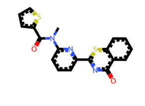 CN(C(=O)c1cccs1)c1cccc(-c2nc(=O)c3ccccc3s2)n1